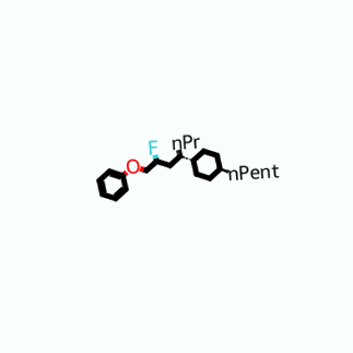 CCCCC[C@H]1CC[C@H](C(CCC)CC(F)COc2ccccc2)CC1